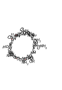 CCCC[C@H]1C(=O)N(C)[C@@H](CCCC)C(=O)N[C@@H](CN)C(=O)N[C@H](C(=O)NCC(N)=O)CSCC(=O)N[C@@H](Cc2ccc(O)cc2)C(=O)N(C)[C@@H](C)C(=O)N[C@@H](CC(N)=O)C(=O)N2CCC[C@H]2C(=O)N[C@@H](Cc2cnc[nH]2)C(=O)N[C@@H](CC(C)C)C(=O)N2C[C@H](O)C[C@H]2C(=O)N[C@@H](Cc2c[nH]c3ccccc23)C(=O)N[C@@H](CO)C(=O)N[C@@H](Cc2c[nH]c3ccccc23)C(=O)N1C